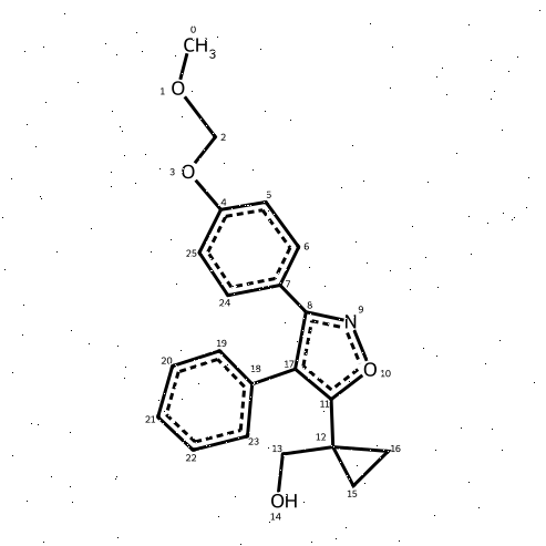 COCOc1ccc(-c2noc(C3(CO)CC3)c2-c2ccccc2)cc1